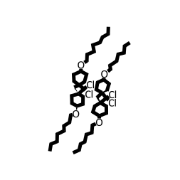 CCCCCCCCOC1CCC2(CC1)C[C@]1(CC[C@@H](OCCCCCCCC)CC1)C2(Cl)Cl.CCCCCCCOC1CC[C@]2(CC1)C[C@@]1(CCC(OCCCCCCC)CC1)C2(Cl)Cl